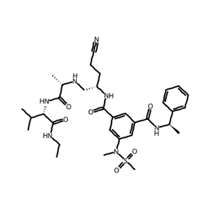 CCNC(=O)[C@@H](NC(=O)[C@H](C)NC[C@H](CCC#N)NC(=O)c1cc(C(=O)N[C@H](C)c2ccccc2)cc(N(C)S(C)(=O)=O)c1)C(C)C